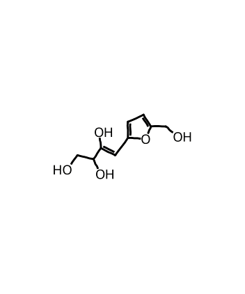 OCc1ccc(C=C(O)C(O)CO)o1